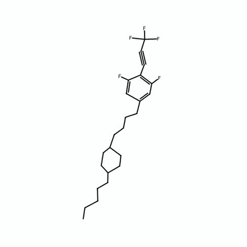 CCCCCC1CCC(CCCCc2cc(F)c(C#CC(F)(F)F)c(F)c2)CC1